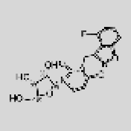 O=c1ccn([C@@H]2O[C@H](CO)[C@H](O)[C@@H]2O)c(=O)n1Cc1noc2cccc(F)c12